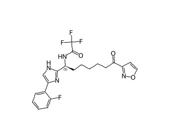 O=C(CCCCC[C@H](NC(=O)C(F)(F)F)c1nc(-c2ccccc2F)c[nH]1)c1ccon1